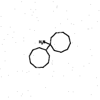 NC1(C2CCCCCCCC2)CCCCCCCC1